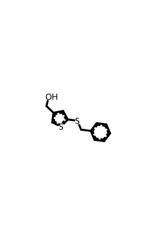 OCc1csc(SCc2ccccc2)c1